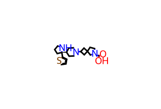 O=C(O)N1CCC2(CC(N3CCC([C@@]4(c5cccs5)CCCN4)CC3)C2)C1